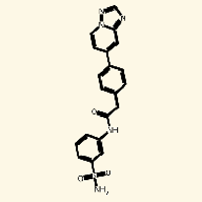 NS(=O)(=O)c1cccc(NC(=O)Cc2ccc(-c3ccn4ncnc4c3)cc2)c1